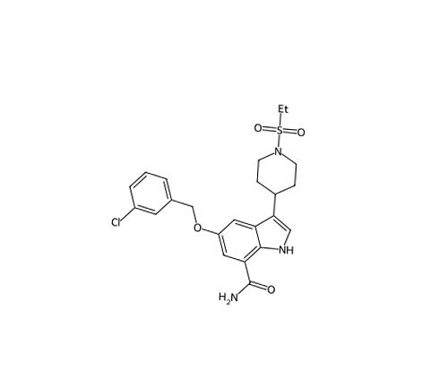 CCS(=O)(=O)N1CCC(c2c[nH]c3c(C(N)=O)cc(OCc4cccc(Cl)c4)cc23)CC1